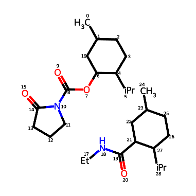 CC1CCC(C(C)C)C(OC(=O)N2CCCC2=O)C1.CCNC(=O)C1CC(C)CCC1C(C)C